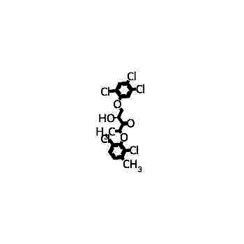 Cc1ccc(Cl)c(OC(C)C(=O)[C@H](O)COc2cc(Cl)c(Cl)cc2Cl)c1Cl